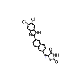 O=C1NC(=O)/C(=C\c2ccc3cc(-c4nc5cc(Cl)c(Cl)cc5[nH]4)ccc3c2)S1